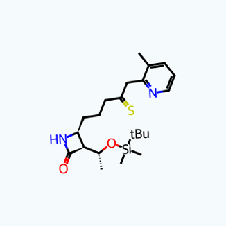 Cc1cccnc1CC(=S)CCC[C@@H]1NC(=O)[C@@H]1[C@@H](C)O[Si](C)(C)C(C)(C)C